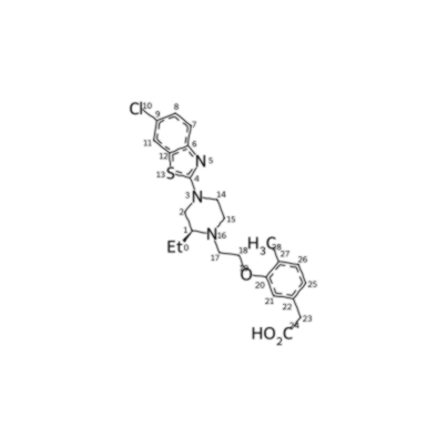 CC[C@H]1CN(c2nc3ccc(Cl)cc3s2)CCN1CCOc1cc(CC(=O)O)ccc1C